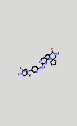 O=C1NCC2(CCCC2)n2c1cc1cnc(Nc3ccc(N4C[C@@H]5C[C@@H]4CN5)cn3)nc12